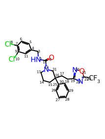 O=C(NCc1ccc(Cl)c(Cl)c1)N1CCCC(CCc2noc(C(F)(F)F)n2)(c2ccccc2)C1